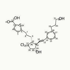 O=C(O)c1ccc(CCC[C@@H]2[C@@H](C#Cc3cccc(CCCO)c3)[C@H](O)C[C@@H]2Cl)s1